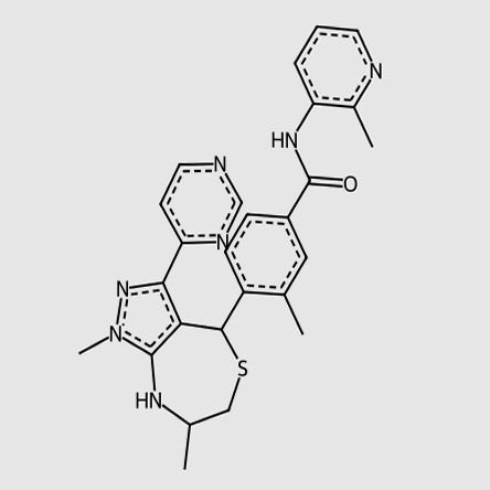 Cc1cc(C(=O)Nc2cccnc2C)ccc1C1SCC(C)Nc2c1c(-c1ccncn1)nn2C